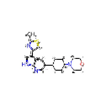 Cc1nc(-c2c[nH]c3ncc(C4CCC(N5CCOCC5)CC4)cc23)cs1